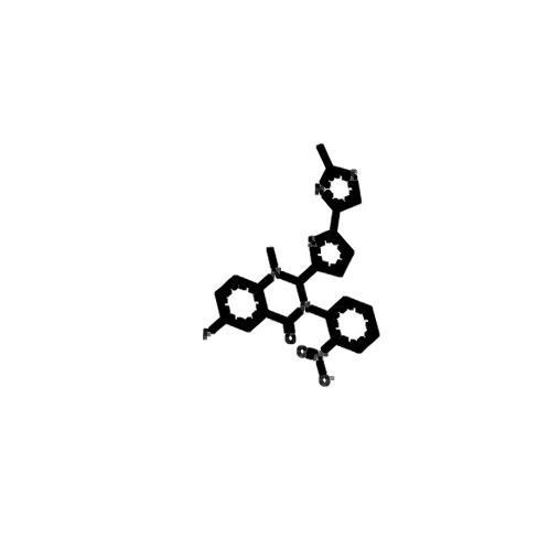 Cc1nc(-c2ccc(C3N(C)c4ccc(F)cc4C(=O)N3c3ccccc3[N+](=O)[O-])s2)cs1